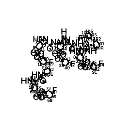 CNC(=O)c1n[nH]c2ccc(S(=O)(=O)Oc3cccc(F)c3)cc12.NC(=O)c1n[nH]c2ccc(S(=O)(=O)Oc3cccc(F)c3)cc12.O=C(Nc1ccccc1)c1n[nH]c2ccc(S(=O)(=O)Oc3cccc(F)c3)cc12.O=C(Nc1n[nH]c2ccc(S(=O)(=O)Oc3cccc(F)c3)cc12)c1ccccc1-c1cccc(F)c1